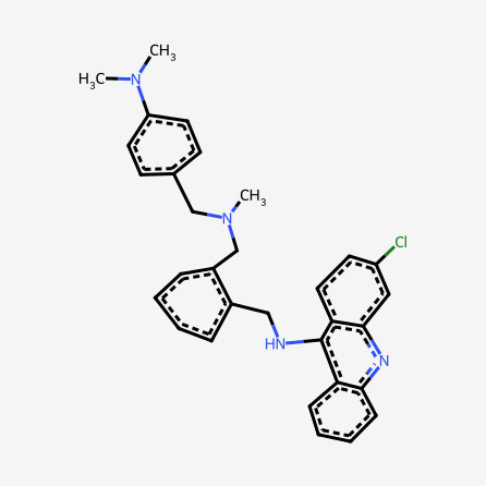 CN(Cc1ccc(N(C)C)cc1)Cc1ccccc1CNc1c2ccccc2nc2cc(Cl)ccc12